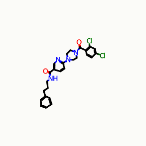 O=C(NCCCc1ccccc1)c1ccc(N2CCN(C(=O)c3ccc(Cl)cc3Cl)CC2)nc1